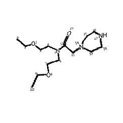 CCOCCN(CCOCC)C(=O)CN1CCNCC1